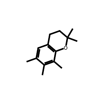 Cc1cc2c(c(C)c1C)OC(C)(C)CC2